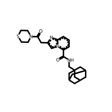 O=C(NCC12CC3CC(CC(C3)C1)C2)c1cccc2nc(CC(=O)N3CCSCC3)cn12